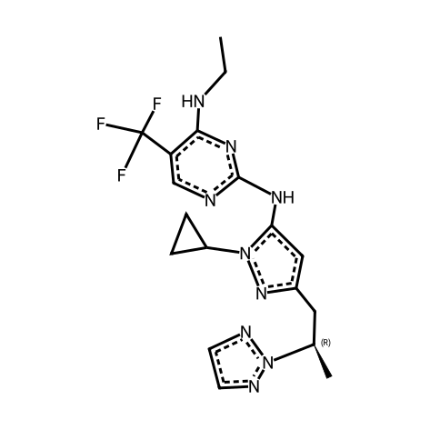 CCNc1nc(Nc2cc(C[C@@H](C)n3nccn3)nn2C2CC2)ncc1C(F)(F)F